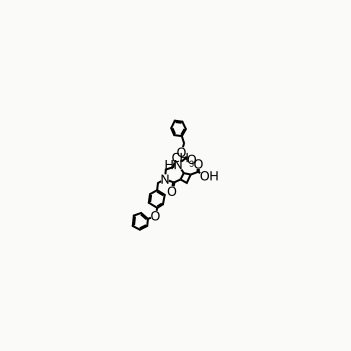 CCCN(Cc1ccc(Oc2ccccc2)cc1)C(=O)C1CC(C(=O)O)C1NC(=O)OCc1ccccc1